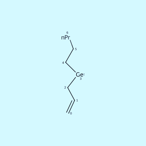 C=C[CH2][Ge][CH2]CCCC